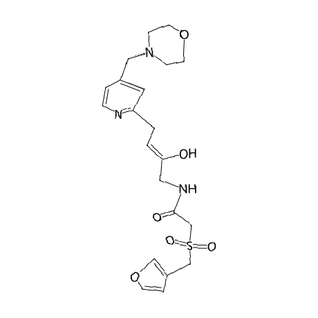 O=C(CS(=O)(=O)Cc1ccoc1)NCC(O)=CCc1cc(CN2CCOCC2)ccn1